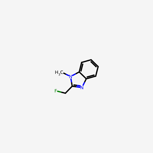 Cn1c(CF)nc2ccccc21